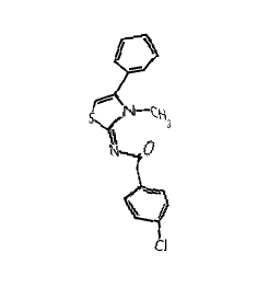 Cn1c(-c2ccccc2)cs/c1=N/C(=O)c1ccc(Cl)cc1